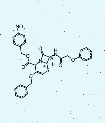 O=C(COc1ccccc1)N[C@@H]1C(=O)N2C(C(=O)OCc3ccc([N+](=O)[O-])cc3)C(OCc3ccccc3)=CS[C@H]12